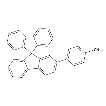 N#Cc1ccc(-c2ccc3c(c2)C(c2ccccc2)(c2ccccc2)c2ccccc2-3)cc1